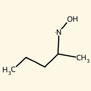 CCCC(C)[N]O